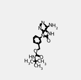 CC(C)(C)NC(=O)OCc1cccc(-n2c(=O)[nH]c3c(N)ncnc32)c1